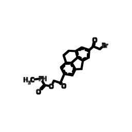 CPC(=O)OCC(=O)c1cc2c3c(c1)Cc1cc(C(=O)CBr)cc(c1-3)CC2